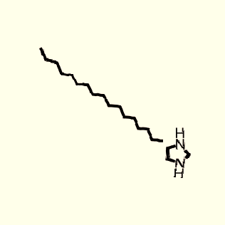 C1CNCN1.CCCCCCCCCCCCCCCCC